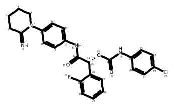 N=C1CCCCN1c1ccc(NC(=O)[C@H](OC(=O)Nc2ccc(Cl)cc2)c2ccccc2F)cc1